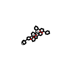 c1ccc(-c2ccc(-c3ccc(N(c4ccccc4-c4ccc(-c5ccccc5)cc4)c4ccccc4-c4cc5ccccc5o4)cc3)cc2)cc1